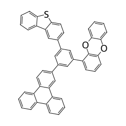 c1ccc2c(c1)Oc1cccc(-c3cc(-c4ccc5sc6ccccc6c5c4)cc(-c4ccc5c6ccccc6c6ccccc6c5c4)c3)c1O2